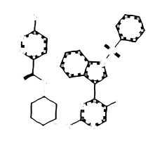 Nc1ccc(C(=O)N[C@H]2CCC[C@@H](Nc3ncc(Cl)c(-c4cn(S(=O)(=O)c5ccccc5)c5ccccc45)n3)C2)nn1